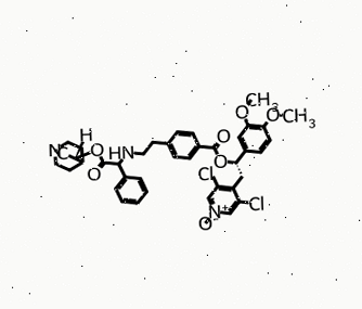 COc1ccc([C@H](Cc2c(Cl)c[n+]([O-])cc2Cl)OC(=O)c2ccc(CCNC(C(=O)O[C@H]3CN4CCC3CC4)c3ccccc3)cc2)cc1OC